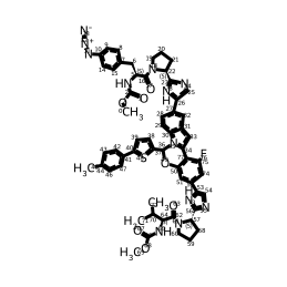 COC(=O)N[C@@H](Cc1ccc(N=[N+]=[N-])cc1)C(=O)N1CCC[C@H]1c1ncc(-c2ccc3c(c2)cc2n3C(c3ccc(-c4ccc(C)cc4)s3)Oc3cc(-c4cnc([C@@H]5CCCN5C(=O)[C@@H](NC(=O)OC)C(C)C)[nH]4)cc(F)c3-2)[nH]1